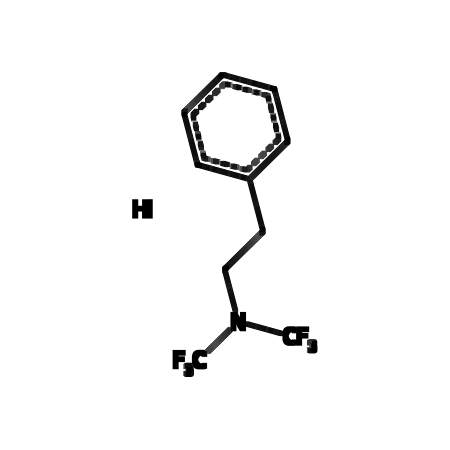 FC(F)(F)N(CCc1ccccc1)C(F)(F)F.I